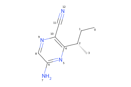 CC[C@H](C)c1nc(N)cnc1C#N